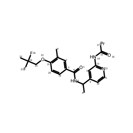 Cc1cc(C(=O)NC(C)c2ccnc(NC(=O)C(C)C)c2)ccc1OCC(C)(F)F